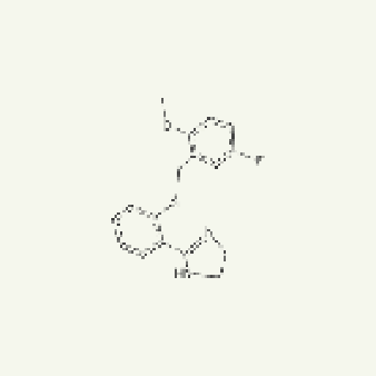 COc1ccc(F)cc1CSc1ccccc1C1=NCCN1